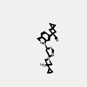 N#CC1(c2ccc3cnn(-c4cc(N5CC(O)(C6CC6)C5)ncn4)c3c2)CC2(CC2)C1